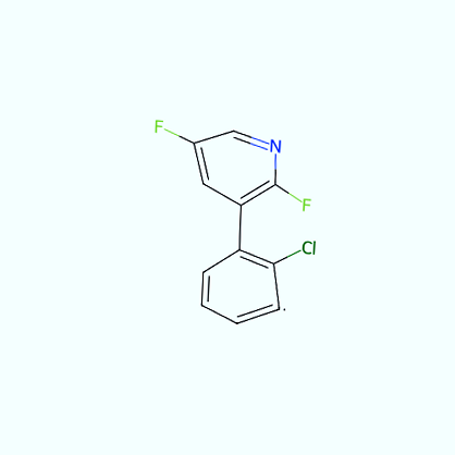 Fc1cnc(F)c(-c2ccc[c]c2Cl)c1